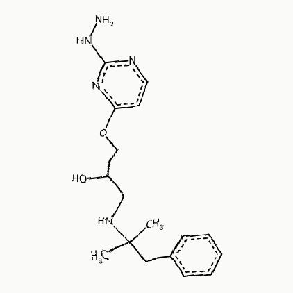 CC(C)(Cc1ccccc1)NCC(O)COc1ccnc(NN)n1